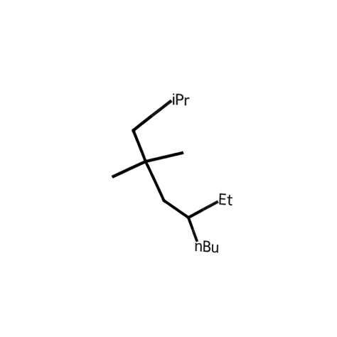 CCCCC(CC)CC(C)(C)CC(C)C